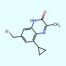 Cc1nc2c(C3CC3)cc(CBr)cc2[nH]c1=O